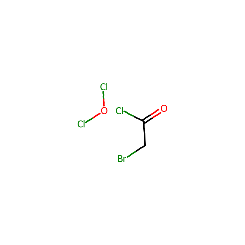 ClOCl.O=C(Cl)CBr